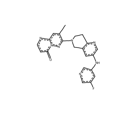 Cc1cc2nccc(=O)n2nc1N1CCc2ncc(Nc3cncc(F)c3)cc2C1